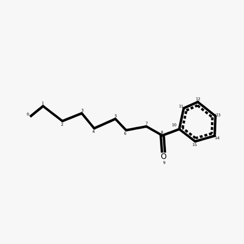 CCCCCCCCC(=O)c1cc[c]cc1